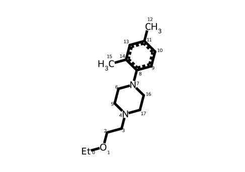 CCOCCN1CCN(c2ccc(C)cc2C)CC1